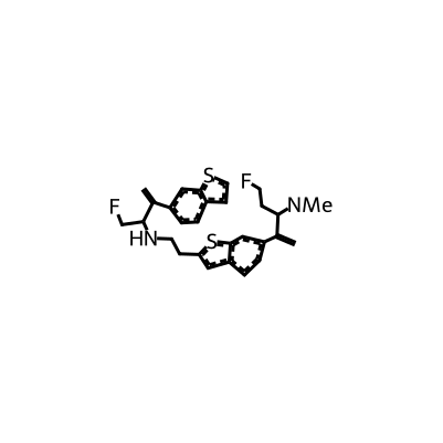 C=C(c1ccc2cc(CCNC(CF)C(=C)c3ccc4ccsc4c3)sc2c1)C(CCF)NC